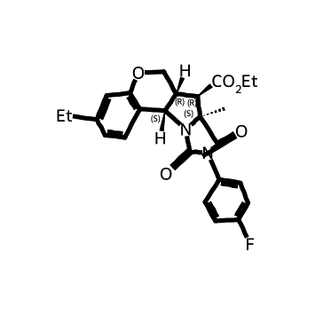 CCOC(=O)[C@@H]1[C@H]2COc3cc(CC)ccc3[C@H]2N2C(=O)N(c3ccc(F)cc3)C(=O)[C@]12C